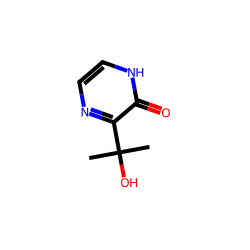 CC(C)(O)c1ncc[nH]c1=O